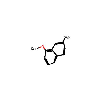 COc1ccc2cccc(OC=O)c2c1